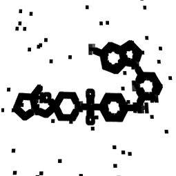 CC1CCCN1CC1(O)CCN(S(=O)(=O)c2ccc(Nc3nccc(-n4ccc5cc(F)ccc54)n3)cc2)CC1